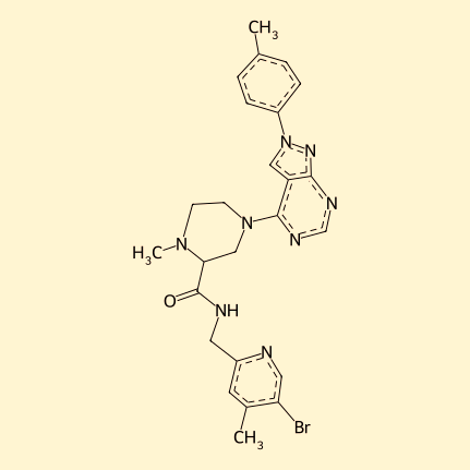 Cc1ccc(-n2cc3c(N4CCN(C)C(C(=O)NCc5cc(C)c(Br)cn5)C4)ncnc3n2)cc1